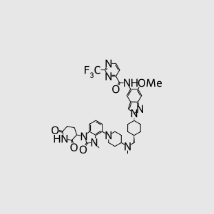 COc1cc2nn([C@H]3CC[C@H](CN(C)C4CCN(c5cccc6c5n(C)c(=O)n6C5CCC(=O)NC5=O)CC4)CC3)cc2cc1NC(=O)c1ccnc(C(F)(F)F)n1